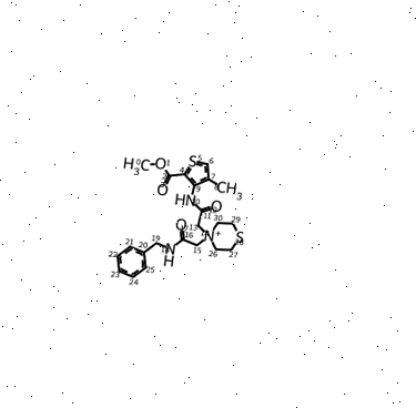 COC(=O)c1scc(C)c1NC(=O)C[N+]1(CC(=O)NCc2ccccc2)CCSCC1